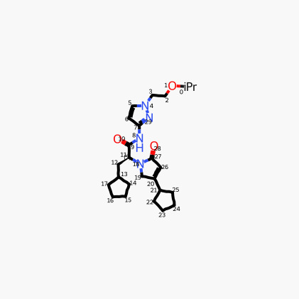 CC(C)OCCn1ccc(NC(=O)[C@H](CC2CCCC2)N2CC(C3CCCC3)=CC2=O)n1